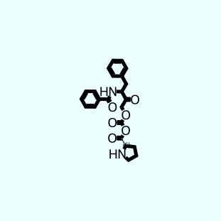 O=C(OCC(=O)C(Cc1ccccc1)NC(=O)c1ccccc1)OC(=O)[C@@H]1CCCN1